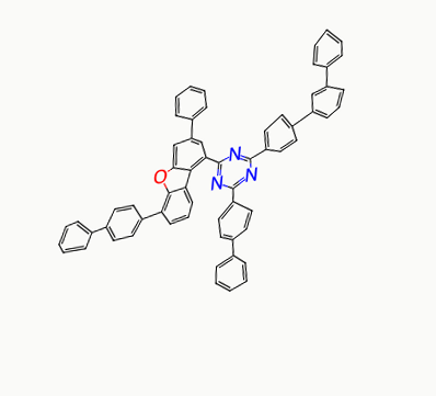 c1ccc(-c2ccc(-c3nc(-c4ccc(-c5cccc(-c6ccccc6)c5)cc4)nc(-c4cc(-c5ccccc5)cc5oc6c(-c7ccc(-c8ccccc8)cc7)cccc6c45)n3)cc2)cc1